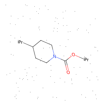 CC(C)OC(=O)N1CCC(C(C)C)CC1